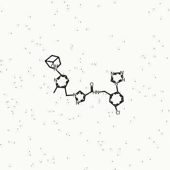 Cc1nc(N2CC3CC(C2)C3O)ccc1Cn1cc(C(=O)NCc2cc(Cl)ccc2-n2cnnn2)cn1